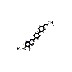 CC=CC1CCC(C2CCC(/C=C/c3ccc(OC)c(F)c3F)CC2)CC1